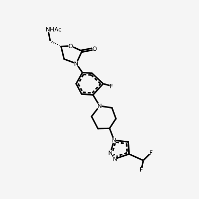 CC(=O)NC[C@H]1CN(c2ccc(N3CCC(n4cc(C(F)F)nn4)CC3)c(F)c2)C(=O)O1